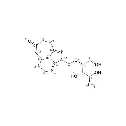 C[C@H](O)[C@H](O)[C@@H](CO)OCn1cc2c3c(ncnc31)NC(=O)CC2